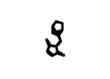 O=C1C=CC(=O)N1CC1=CC2CCC1C2